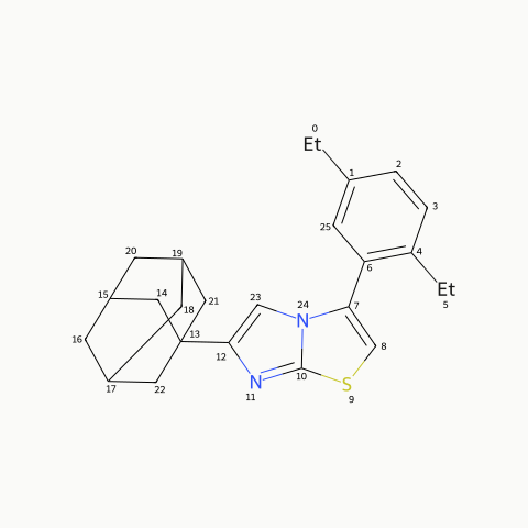 CCc1ccc(CC)c(-c2csc3nc(C45CC6CC(CC(C6)C4)C5)cn23)c1